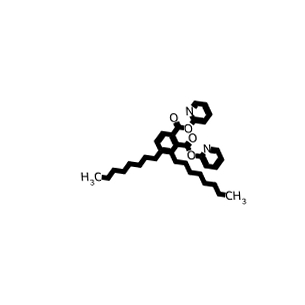 CCCCCCCCc1ccc(C(=O)Oc2ccccn2)c(C(=O)Oc2ccccn2)c1CCCCCCCC